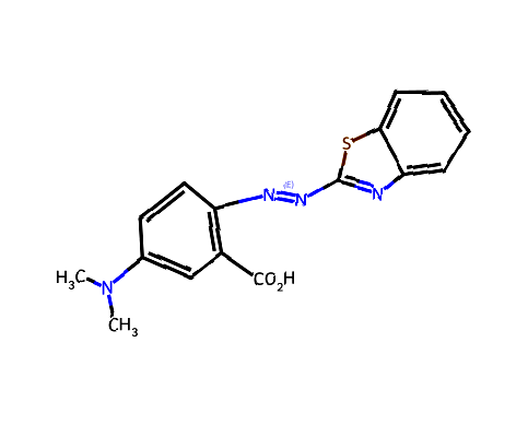 CN(C)c1ccc(/N=N/c2nc3ccccc3s2)c(C(=O)O)c1